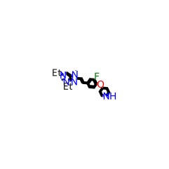 CCN1C=C2C(=NC(/C=C/c3ccc(OC4CCNCC4)c(F)c3)N2C)N(CC)C1